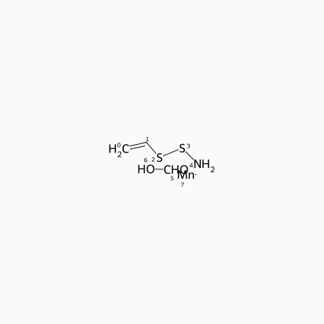 C=CSSN.O=CO.[Mn]